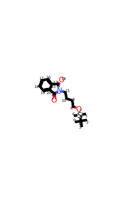 CC(C)(C)[Si](C)(C)OCCCCN1C(=O)c2ccccc2C1=O